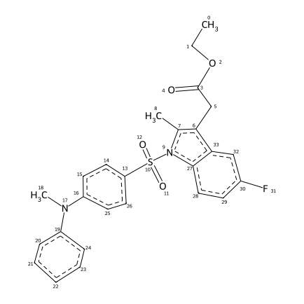 CCOC(=O)Cc1c(C)n(S(=O)(=O)c2ccc(N(C)c3ccccc3)cc2)c2ccc(F)cc12